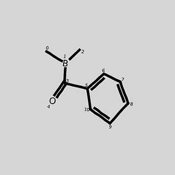 CB(C)C(=O)c1ccccc1